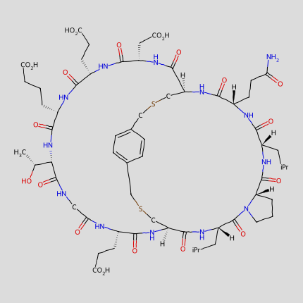 CC(C)C[C@@H]1NC(=O)[C@@H]2CCCN2C(=O)[C@H](CC(C)C)NC(=O)[C@@H]2CSCc3ccc(cc3)CSC[C@H](NC(=O)[C@H](CCC(N)=O)NC1=O)C(=O)N[C@@H](CC(=O)O)C(=O)N[C@@H](CCC(=O)O)C(=O)N[C@@H](CCCC(=O)O)C(=O)N[C@@H]([C@@H](C)O)C(=O)NCC(=O)N[C@@H](CCC(=O)O)C(=O)N2